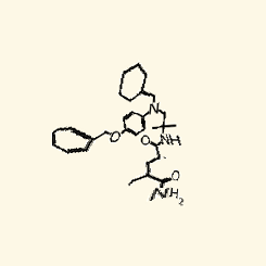 CC(C[CH]C(=O)NC(C)(C)CN(CC1CCCCC1)c1ccc(OCc2ccccc2)cc1)C(N)=O